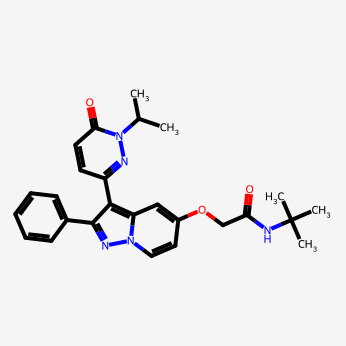 CC(C)n1nc(-c2c(-c3ccccc3)nn3ccc(OCC(=O)NC(C)(C)C)cc23)ccc1=O